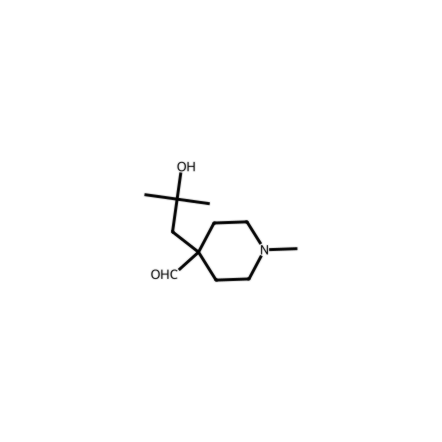 CN1CCC(C=O)(CC(C)(C)O)CC1